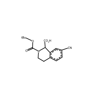 CC(C)(C)OC(=O)N1CCc2ccc(C#N)cc2C1C(=O)O